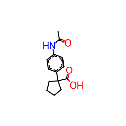 CC(=O)Nc1ccc(C2(C(=O)O)CCCC2)cc1